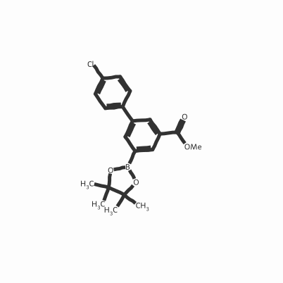 COC(=O)c1cc(B2OC(C)(C)C(C)(C)O2)cc(-c2ccc(Cl)cc2)c1